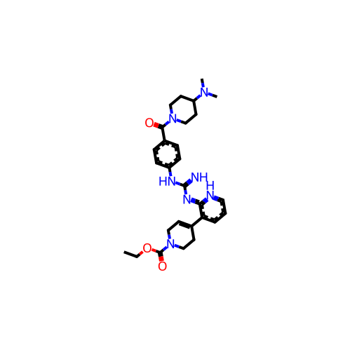 CCOC(=O)N1CC=C(c2ccc[nH]/c2=N\C(=N)Nc2ccc(C(=O)N3CCC(N(C)C)CC3)cc2)CC1